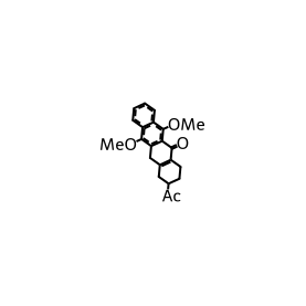 COc1c2c(c(OC)c3ccccc13)C(=O)C1=C(C2)CC(C(C)=O)CC1